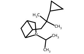 CC(C)N1CC2CC1C2CC(C)(C)C1CC1